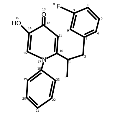 CC(Cc1cccc(F)c1)c1cc(=O)c(O)cn1-c1ccccc1